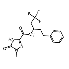 Cn1nc(C(=O)NC(CCc2ccccc2)CC(F)(F)F)[nH]c1=O